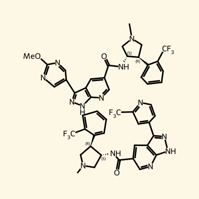 CN1C[C@@H](NC(=O)c2cnc3[nH]nc(-c4ccnc(C(F)(F)F)c4)c3c2)[C@H](c2ccccc2C(F)(F)F)C1.COc1ncc(-c2n[nH]c3ncc(C(=O)N[C@@H]4CN(C)C[C@H]4c4ccccc4C(F)(F)F)cc23)cn1